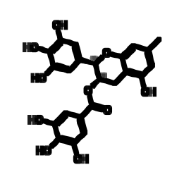 Cc1cc(O)c2c(c1)O[C@H](c1cc(O)c(O)c(O)c1)[C@H](OC(=O)c1cc(O)c(O)c(O)c1)C2